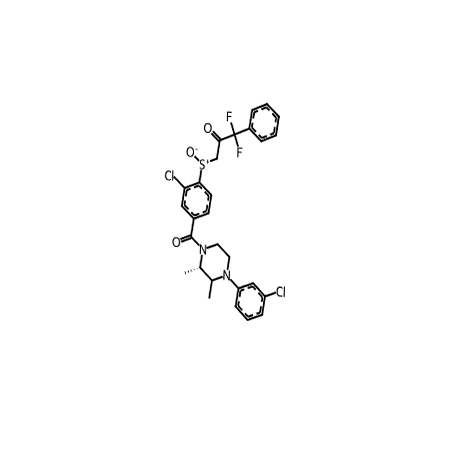 CC1[C@H](C)N(C(=O)c2ccc([S+]([O-])CC(=O)C(F)(F)c3ccccc3)c(Cl)c2)CCN1c1cccc(Cl)c1